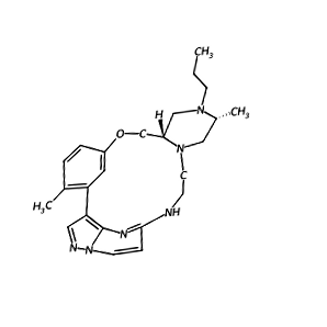 CCCN1C[C@H]2COc3ccc(C)c(c3)-c3cnn4ccc(nc34)NCCN2C[C@H]1C